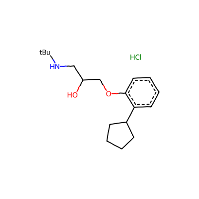 CC(C)(C)NCC(O)COc1ccccc1C1CCCC1.Cl